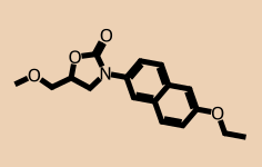 CCOc1ccc2cc(N3CC(COC)OC3=O)ccc2c1